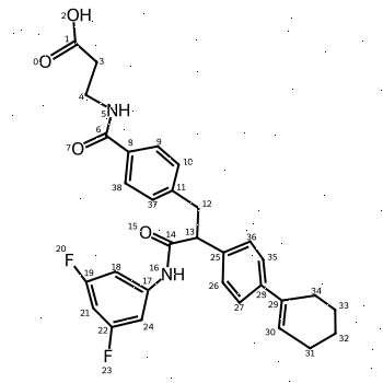 O=C(O)CCNC(=O)c1ccc(CC(C(=O)Nc2cc(F)cc(F)c2)c2ccc(C3=CCCCC3)cc2)cc1